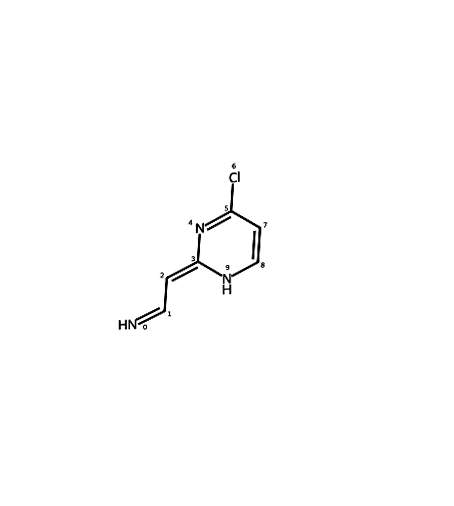 N=C/C=C1/N=C(Cl)C=CN1